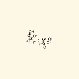 O=S(=O)(CCCS(=O)(=O)OO)OO